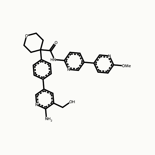 COc1ccc(-c2ccc(NC(=O)C3(c4ccc(-c5cnc(N)c(CO)c5)cc4)CCOCC3)nc2)cn1